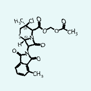 CC(=O)OCOC(=O)C1N2C(=O)C(N3C(=O)c4cccc(C)c4C3=O)[C@@H]2SC[C@@]1(C)Cl